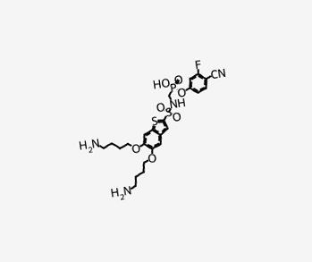 N#Cc1ccc(OP(=O)(O)CNS(=O)(=O)c2cc3cc(OCCCCN)c(OCCCCN)cc3s2)cc1F